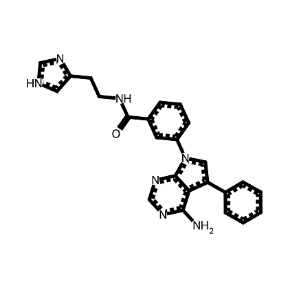 Nc1ncnc2c1c(-c1ccccc1)cn2-c1cccc(C(=O)NCCc2c[nH]cn2)c1